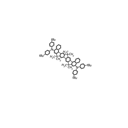 CC(C)(C)c1ccc(N(c2ccc(C(C)(C)C)cc2)c2cc3c(c4ccccc24)-c2cc4c(cc2C3(C)C)-c2cc3c(cc2C4(C)C)-c2c(cc(N(c4ccc(C(C)(C)C)cc4)c4ccc(C(C)(C)C)cc4)c4ccccc24)C3(C)C)cc1